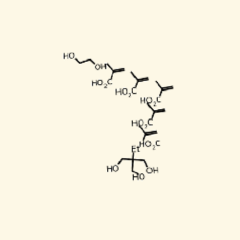 C=C(C)C(=O)O.C=C(C)C(=O)O.C=C(C)C(=O)O.C=C(C)C(=O)O.C=C(C)C(=O)O.CCC(CO)(CO)CO.OCCO